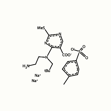 CSc1ncc(C(=O)[O-])c(N(CCN)CC(C)(C)C)n1.Cc1ccc(S(=O)(=O)[O-])cc1.[Na+].[Na+]